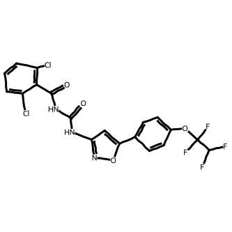 O=C(NC(=O)c1c(Cl)cccc1Cl)Nc1cc(-c2ccc(OC(F)(F)C(F)F)cc2)on1